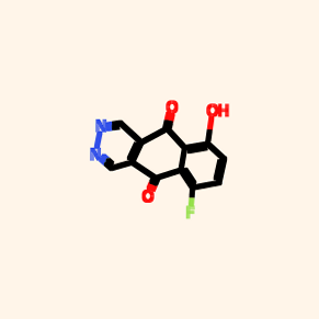 O=C1c2cnncc2C(=O)c2c(F)ccc(O)c21